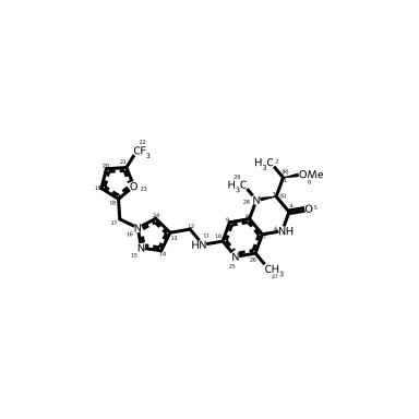 CO[C@H](C)[C@H]1C(=O)Nc2c(cc(NCc3cnn(Cc4ccc(C(F)(F)F)o4)c3)nc2C)N1C